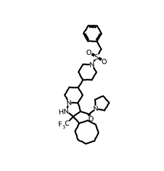 O=C(C1C2CC(C3CCN(S(=O)(=O)Cc4ccccc4)CC3)CCN2NC1(C1CCCCCCC1)C(F)(F)F)N1CCCC1